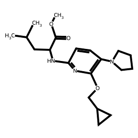 COC(=O)C(CC(C)C)Nc1ccc(N2CCCC2)c(OCC2CC2)n1